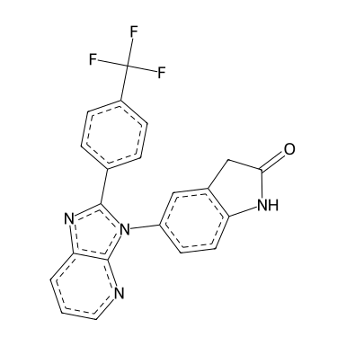 O=C1Cc2cc(-n3c(-c4ccc(C(F)(F)F)cc4)nc4cccnc43)ccc2N1